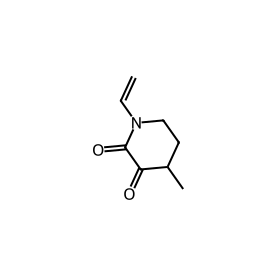 C=CN1CCC(C)C(=O)C1=O